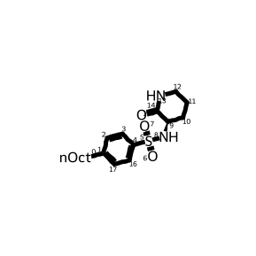 CCCCCCCCc1ccc(S(=O)(=O)N[C@@H]2CCCNC2=O)cc1